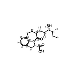 CC[C@@H](C)[C@H](S)C(=O)NC1CCc2cccc3c2N(C1=O)[C@H](C(=O)O)C3